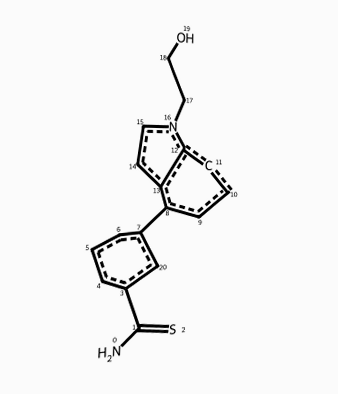 NC(=S)c1cccc(-c2cccc3c2ccn3CCO)c1